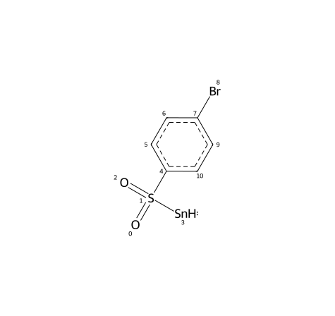 O=[S](=O)([SnH])c1ccc(Br)cc1